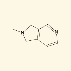 CN1Cc2ccncc2C1